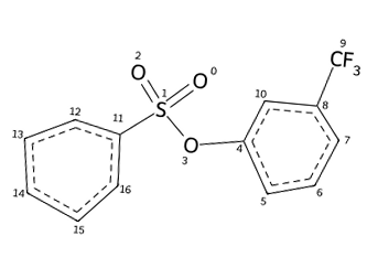 O=S(=O)(Oc1cccc(C(F)(F)F)c1)c1ccccc1